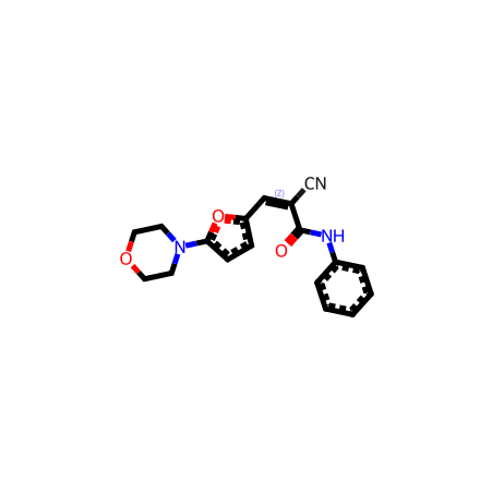 N#C/C(=C/c1ccc(N2CCOCC2)o1)C(=O)Nc1ccccc1